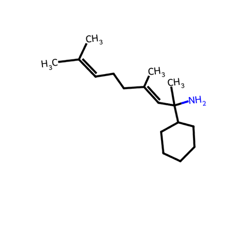 CC(C)=CCC/C(C)=C/C(C)(N)C1CCCCC1